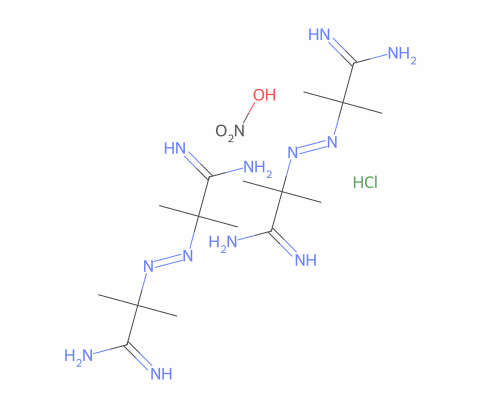 CC(C)(N=NC(C)(C)C(=N)N)C(=N)N.CC(C)(N=NC(C)(C)C(=N)N)C(=N)N.Cl.O=[N+]([O-])O